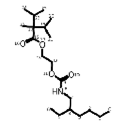 CCCCC(CC)CNC(=O)OCCOC(=O)C(C)(C(C)C)C(C)C